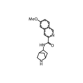 COc1ccc2cnc(C(=O)NC3CC4CC3CN4)cc2c1